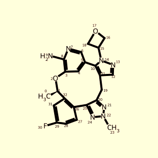 C[C@H]1Oc2cc(cnc2N)-c2c(cnn2C2COC2)Cc2nn(C)nc2-c2ccc(F)cc21